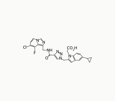 O=C(O)Cn1c(Cn2cc(C(=O)NCc3ncn4ccc(Cl)c(F)c34)nn2)cc2cc(C3CC3)ccc21